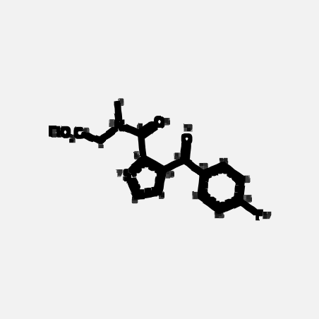 CCOC(=O)CN(C)C(=O)c1sccc1C(=O)c1ccc(F)cc1